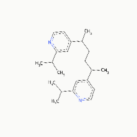 CC(C)c1cc(C(C)CCC(C)c2ccnc(C(C)C)c2)ccn1